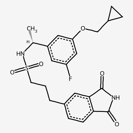 C[C@@H](NS(=O)(=O)CCCc1ccc2c(c1)C(=O)NC2=O)c1cc(F)cc(OCC2CC2)c1